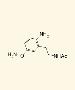 CC(=O)NCCc1cc(ON)ccc1N